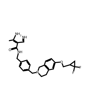 C/C(N)=C(/C=N)C(=O)NCc1ccc(CN2CCc3cc(OCC4CC4(F)F)ccc3C2)cc1